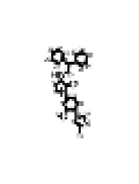 COc1cc(N2CCC(NCC(c3ccccc3)c3ccccc3)C2=O)ccc1-n1cnc(C)c1